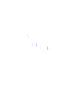 C=CONC1CCN(C)CC1